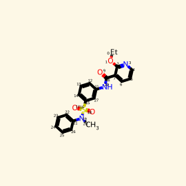 CCOc1ncccc1C(=O)Nc1cccc(S(=O)(=O)N(C)c2ccccc2)c1